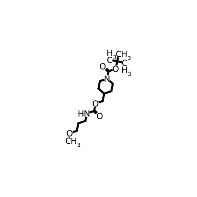 COCCCNC(=O)OCC1CCN(C(=O)OC(C)(C)C)CC1